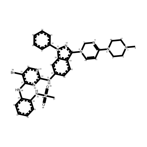 CN1CCN(C2=NCN(c3nn(-c4ccccc4)c4cc(Nc5ncc(Br)c(Nc6ccccc6NS(C)(=O)=O)n5)ccc34)C=C2)CC1